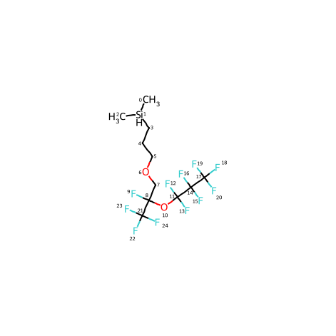 C[SiH](C)CCCOCC(F)(OC(F)(F)C(F)(F)C(F)(F)F)C(F)(F)F